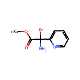 CCCCOC(=O)C(N)(Br)c1ccccn1